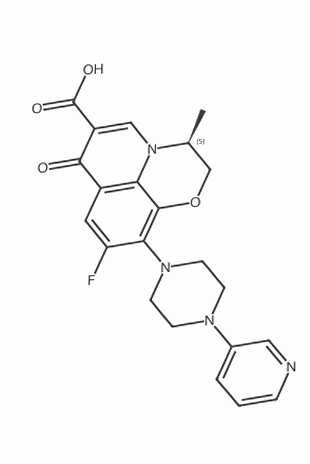 C[C@H]1COc2c(N3CCN(c4cccnc4)CC3)c(F)cc3c(=O)c(C(=O)O)cn1c23